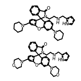 O=C1c2ccccc2C2(c3ccc(N4CCCCC4)cc3Oc3cc(N4CCCCC4)ccc32)N1CCNCc1ccc[nH]1.O=C1c2ccccc2C2(c3ccc(N4CCOCC4)cc3Oc3cc(N4CCOCC4)ccc32)N1CCNCc1ccc[nH]1